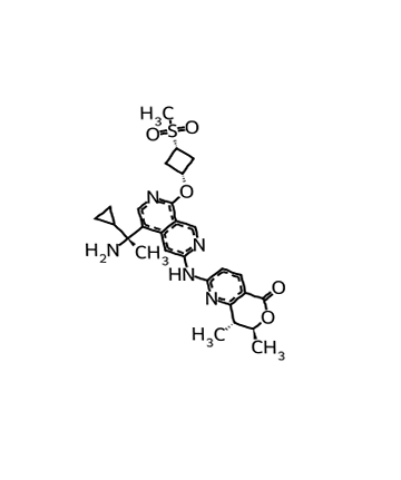 C[C@@H]1OC(=O)c2ccc(Nc3cc4c([C@](C)(N)C5CC5)cnc(O[C@H]5C[C@@H](S(C)(=O)=O)C5)c4cn3)nc2[C@H]1C